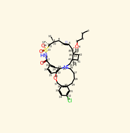 CCCCO[C@H]1/C=C/C[C@H](C)[C@@H](C)S(=O)(=O)NC(=O)c2ccc3c(c2)N(CCCCc2cc(Cl)ccc2CO3)C[C@@H]2CC[C@H]21